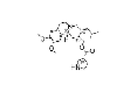 COc1cc2c(cc1OC)[C@H]1C[C@@H](COC(=O)[C@@H]3CCNC3)[C@H](CC(C)C)CN1CC2